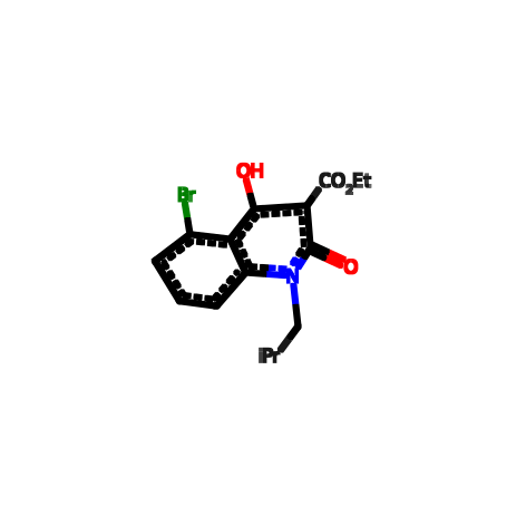 CCOC(=O)c1c(O)c2c(Br)cccc2n(CC(C)C)c1=O